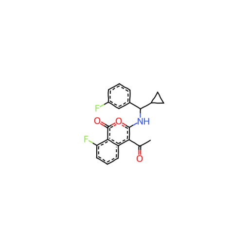 CC(=O)c1c(NC(c2cccc(F)c2)C2CC2)oc(=O)c2c(F)cccc12